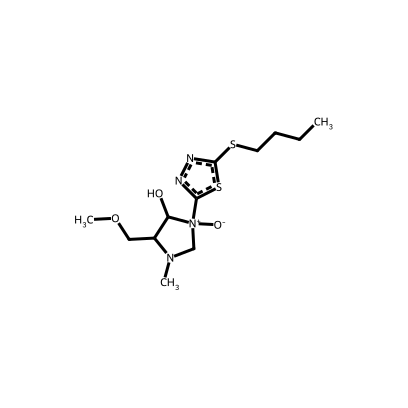 CCCCSc1nnc([N+]2([O-])CN(C)C(COC)C2O)s1